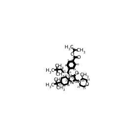 CC(C)OC(=O)c1ccc([C@@H](CCC(C)(C)C)N2C(=O)C(N3CCOC[C@@H]3C)=NC23CCC(C(C)(C)C)CC3)cc1